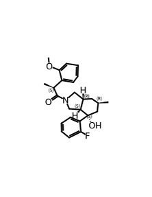 COc1ccccc1[C@H](C)C(=O)N1C[C@@H]2C[C@@H](C)C[C@@](O)(c3ccccc3F)[C@@H]2C1